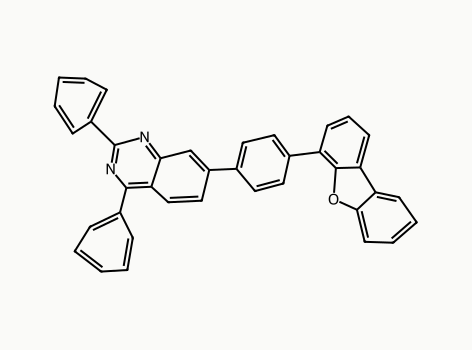 c1ccc(-c2nc(-c3ccccc3)c3ccc(-c4ccc(-c5cccc6c5oc5ccccc56)cc4)cc3n2)cc1